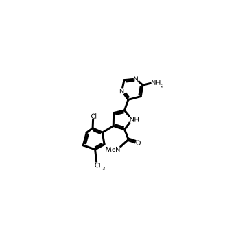 CNC(=O)c1[nH]c(-c2cc(N)ncn2)cc1-c1cc(C(F)(F)F)ccc1Cl